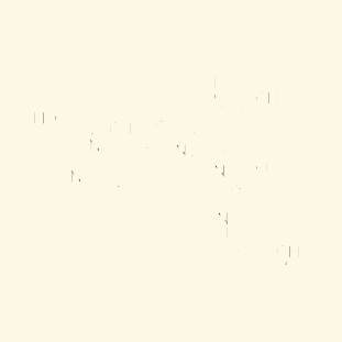 Cc1cnc(CC2CCN(C(=O)[C@H](CC(C)C)N3CCN[C@@H](CC(C)C)C3=O)CC2)n1C